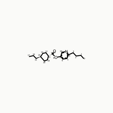 CCCCc1ccc(OC(=O)[C@H]2CC[C@H](CCC)CC2)cn1